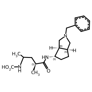 CC(C[C@H](C)C(=O)N[C@H]1CC[C@@H]2CN(Cc3ccccc3)C[C@@H]21)NC(=O)O